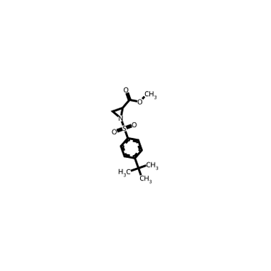 COC(=O)C1CN1S(=O)(=O)c1ccc(C(C)(C)C)cc1